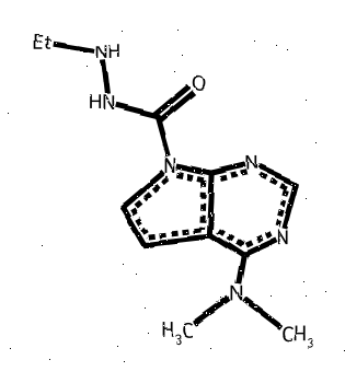 CCNNC(=O)n1ccc2c(N(C)C)ncnc21